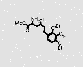 CCOc1ccc(CCC(CC)CC(N)C(=O)OC)c(OCC)c1OCC